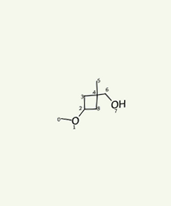 COC1CC(C)(CO)C1